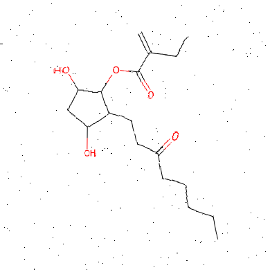 C=C(CC)C(=O)OC1C(O)CC(O)C1CCC(=O)CCCCC